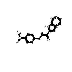 O=C(NCc1ccc(S(=O)O)cc1)c1cc2ccncc2o1